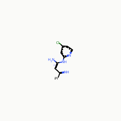 CC(C)C(=N)/C=C(/N)Nc1cc(Cl)ccn1